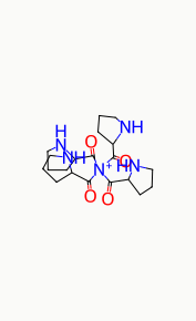 O=C(C1CCCN1)[N+](C(=O)C1CCCN1)(C(=O)C1CCCN1)C(=O)C1CCCN1